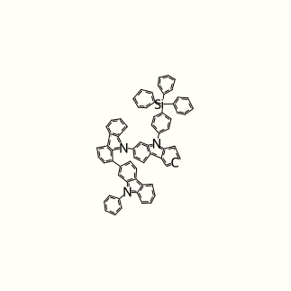 c1ccc(-n2c3ccccc3c3ccc(-c4cccc5c6ccccc6n(-c6ccc7c8ccccc8n(-c8ccc([Si](c9ccccc9)(c9ccccc9)c9ccccc9)cc8)c7c6)c45)cc32)cc1